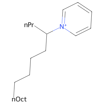 CCCCCCCCCCCCC(CCC)[n+]1ccccc1